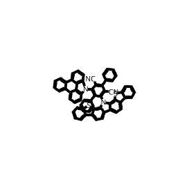 N#Cc1c(-c2ccccc2)c(C#N)c(-n2c3c(ccc4c5ccccc5sc43)c3ccc4c5ccccc5sc4c32)c(-c2ccccc2)c1-n1c2cccc3c4ccccc4c4cccc1c4c32